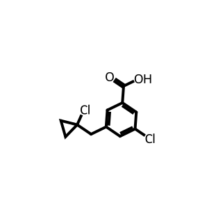 O=C(O)c1cc(Cl)cc(CC2(Cl)CC2)c1